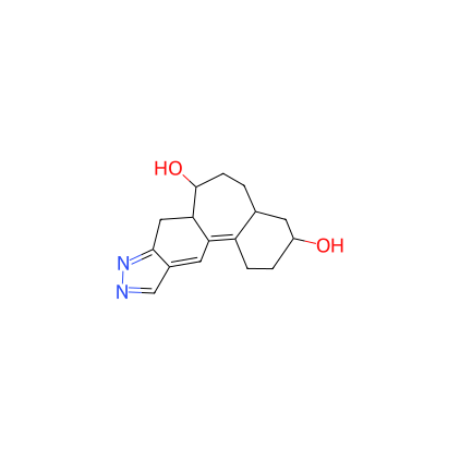 OC1CCC2=C3C=C4C=NN=C4CC3C(O)CCC2C1